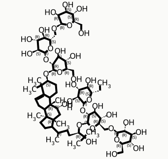 CC[C@@H]1O[C@H](O[C@H]2[C@H](O[C@H](CC[C@@H](C)C3CC[C@@]4(C)C5CC=C6C(CC[C@H](O[C@@H]7O[C@H](CO)[C@@H](O)[C@H](O)[C@H]7O[C@H]7O[C@@H](CO[C@@H]8O[C@H](CO)[C@@H](O)[C@H](O)[C@H]8O)[C@H](O)[C@@H](O)[C@@H]7O)C6(C)C)[C@]5(C)[C@H](O)C[C@]34C)C(C)(C)O)O[C@H](CO[C@@H]3O[C@H](CO)[C@@H](O)[C@H](O)[C@H]3O)[C@@H](O)[C@@H]2O)[C@@H](O)[C@H](O)[C@H]1O